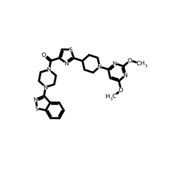 COc1cc(N2CCC(c3nc(C(=O)N4CCN(c5nsc6ccccc56)CC4)cs3)CC2)nc(OC)n1